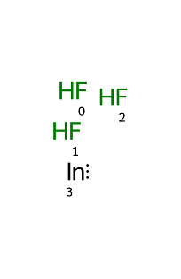 F.F.F.[In]